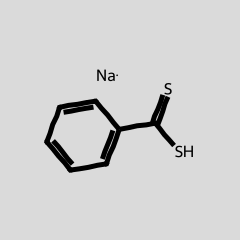 S=C(S)c1ccccc1.[Na]